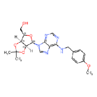 COc1ccc(CNc2ncnc3c2ncn3[C@@H]2O[C@H](CO)[C@@H]3OC(C)(C)O[C@@H]32)cc1